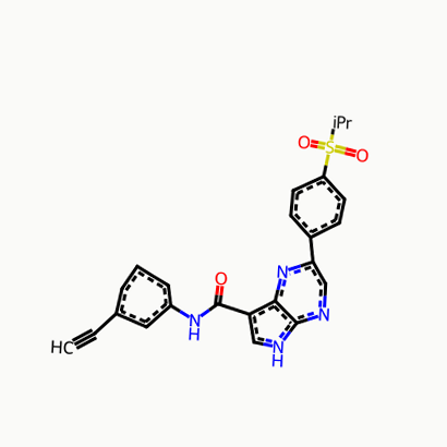 C#Cc1cccc(NC(=O)c2c[nH]c3ncc(-c4ccc(S(=O)(=O)C(C)C)cc4)nc23)c1